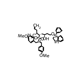 C=CC[C@H](C)[C@H](C[C@H](O)CCO[Si](CC(C)C)(c1ccccc1)c1ccccc1)S(=O)(=O)N(Cc1ccc(OC)cc1)Cc1ccc(OC)cc1